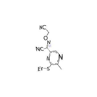 CCSc1nc(/C(C#N)=N/OCC#N)cnc1C